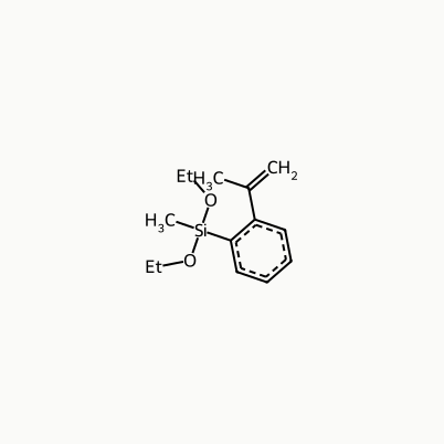 C=C(C)c1ccccc1[Si](C)(OCC)OCC